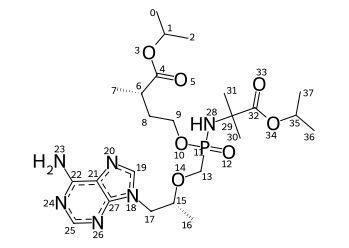 CC(C)OC(=O)[C@@H](C)CCOP(=O)(CO[C@H](C)Cn1cnc2c(N)ncnc21)NC(C)(C)C(=O)OC(C)C